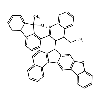 CCC1c2ccccc2N=C(c2cccc3c2C(C)(C)c2ccccc2-3)C1C1c2cc3oc4ccccc4c3cc2-c2c1ccc1ccccc21